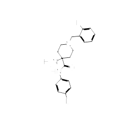 CCc1ccc(NC(=O)C2(N)CCN(Cc3ccccc3F)CC2)cc1